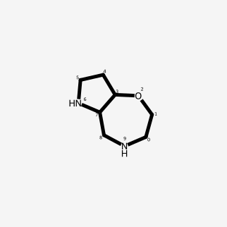 C1COC2CCNC2CN1